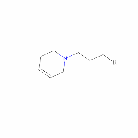 [Li][CH2]CCN1CC=CCC1